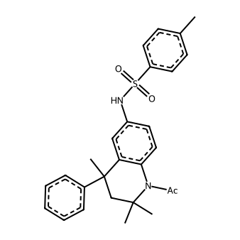 CC(=O)N1c2ccc(NS(=O)(=O)c3ccc(C)cc3)cc2C(C)(c2ccccc2)CC1(C)C